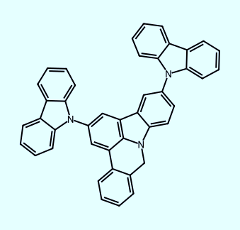 c1ccc2c(c1)Cn1c3ccc(-n4c5ccccc5c5ccccc54)cc3c3cc(-n4c5ccccc5c5ccccc54)cc-2c31